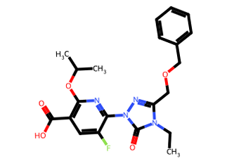 CCn1c(COCc2ccccc2)nn(-c2nc(OC(C)C)c(C(=O)O)cc2F)c1=O